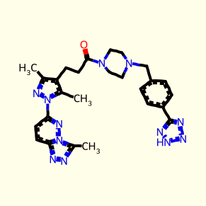 Cc1nn(-c2ccc3nnc(C)n3n2)c(C)c1CCC(=O)N1CCN(Cc2ccc(-c3nn[nH]n3)cc2)CC1